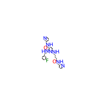 O=C(CCCCNc1ccc(C(=O)NCc2cccnc2)c(NCCc2cccc(F)c2)n1)NCc1cccnc1